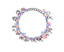 CCCCN1CCCCCCCCC[C@H](C(=O)N2CCCCC2)CC(=O)N(C)CCC(=O)N[C@@H](CC(C)C)C(=O)N(C)[C@@H](CC(C)C)C(=O)N[C@@H]([C@@H](C)O)C(=O)N(C)CC(=O)N(C)[C@@H](CC(C)C)C(=O)N(C)[C@@H](CC(C)C)C(=O)N[C@@H]([C@@H](C)CC)C(=O)N(C)[C@@H](CC(C)C)C(=O)N[C@@H](Cc2ccccc2)C(=O)N(C)[C@@H](Cc2ccccc2)C(=O)N[C@@H](C)C1=O